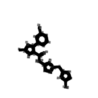 CC(=O)c1csc(Cn2ncc(NC(=O)c3nc(C)oc3-c3cccc(Cl)c3)n2)n1